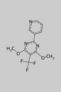 COc1nc(-c2cccnc2)nc(OC)c1C(F)(F)F